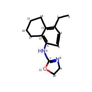 CCc1ccc(NC2=NCCO2)c2c1CCCC2